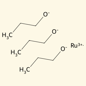 CCC[O-].CCC[O-].CCC[O-].[Ru+3]